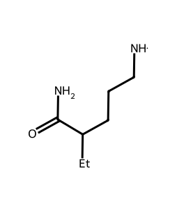 CCC(CCC[NH])C(N)=O